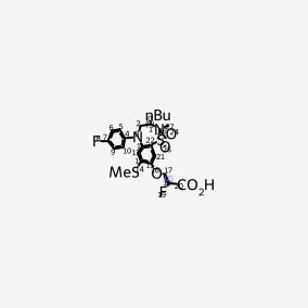 CCCC[C@@H]1CN(c2ccc(F)cc2)c2cc(SC)c(O/C=C(\F)C(=O)O)cc2S(=O)(=O)N1C